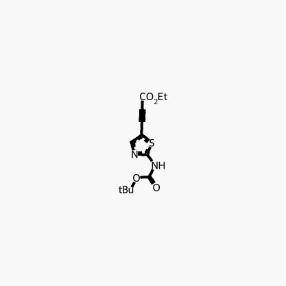 CCOC(=O)C#Cc1cnc(NC(=O)OC(C)(C)C)s1